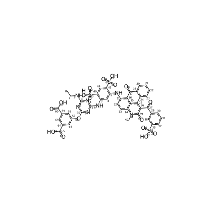 CCNc1nc(Nc2cc(Nc3ccc4c5c3C(=O)c3ccccc3-c5c(C(=O)c3cccc(S(=O)(=O)O)c3)c(=O)n4C)c(S(=O)(=O)O)cc2S(=O)(=O)O)nc(Oc2cc(C(=O)O)cc(C(=O)O)c2)n1